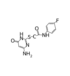 Nc1cc(=O)[nH]c(SCC(=O)Nc2ccc(F)cc2)n1